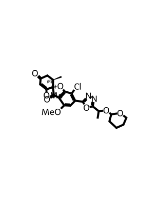 COC1=CC(=O)C[C@@H](C)[C@]12Oc1c(Cl)c(-c3nnc(C(C)OC4CCCCO4)o3)cc(OC)c1C2=O